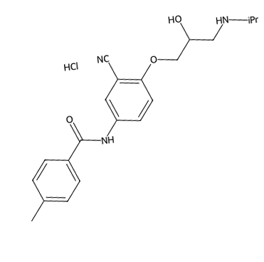 Cc1ccc(C(=O)Nc2ccc(OCC(O)CNC(C)C)c(C#N)c2)cc1.Cl